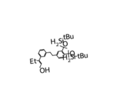 CCC(=CCO)c1cccc(CCc2ccc(C(C)(C)O[SiH2]C(C)(C)C)c(C(C)(C)O[SiH2]C(C)(C)C)c2)c1